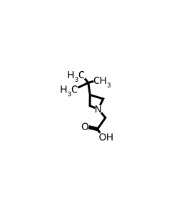 CC(C)(C)C1CN(CC(=O)O)C1